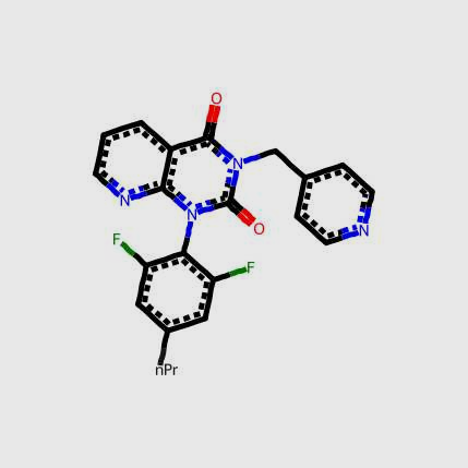 CCCc1cc(F)c(-n2c(=O)n(Cc3ccncc3)c(=O)c3cccnc32)c(F)c1